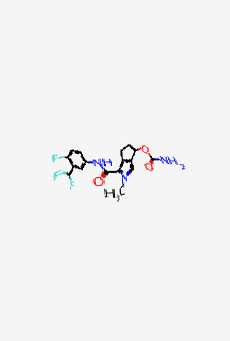 Cn1cc2c(c1C(=O)Nc1ccc(F)c(C(F)F)c1)CCC2OC(N)=O